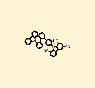 CC1CC(C#N)=Cc2c1n(-c1ccc(C3CC=CC(C#N)=C3c3ccccc3-n3c4ccccc4c4ccccc43)cc1)c1c(C#N)cccc21